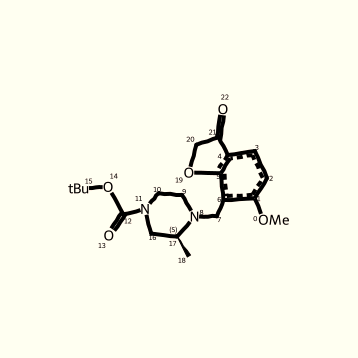 COc1ccc2c(c1CN1CCN(C(=O)OC(C)(C)C)C[C@@H]1C)OCC2=O